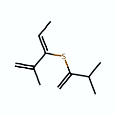 C=C(C)/C(=C/C)SC(=C)C(C)C